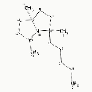 CCCCCC1(C)CCC2(C)CCC(C)N12